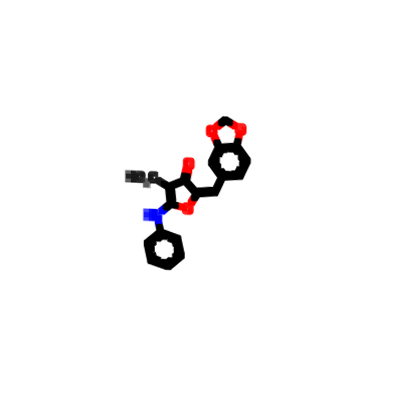 O=C(O)C1=C(Nc2ccccc2)OC(=Cc2ccc3c(c2)OCO3)C1=O